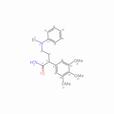 CCN(CCC(C(N)=O)c1cc(OC)c(OC)c(OC)c1)c1ccccc1